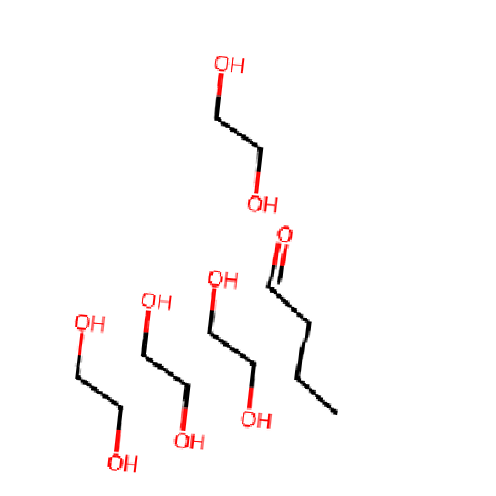 CCCC=O.OCCO.OCCO.OCCO.OCCO